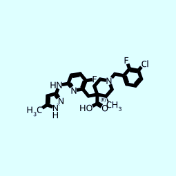 Cc1cc(Nc2ccc(F)c(CC3(C(=O)O)CCN(Cc4cccc(Cl)c4F)C[C@@H]3C)n2)n[nH]1